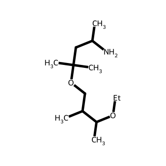 CCOC(C)C(C)COC(C)(C)CC(C)N